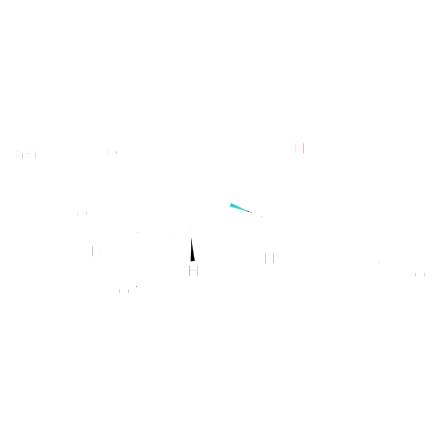 CCCC1O[C@@H]2C[C@H]3[C@@H]4CCC5=CC(=O)C=C[C@]5(C)[C@@]4(F)[C@@H](O)C[C@]3(C)[C@]2(C(=O)COC(C)=O)O1